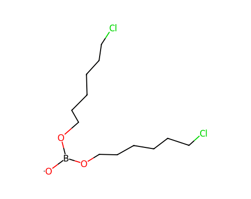 [O]B(OCCCCCCCl)OCCCCCCCl